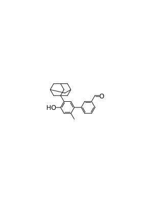 Cc1cc(O)c(C23CC4CC(CC(C4)C2)C3)cc1-c1cccc(C=O)c1